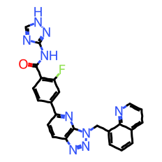 O=C(Nc1nc[nH]n1)c1ccc(-c2ccc3nnn(Cc4cccc5cccnc45)c3n2)cc1F